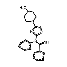 CN1CCN(c2nsc(N(C(=N)c3ccccc3)c3ccccc3)n2)CC1